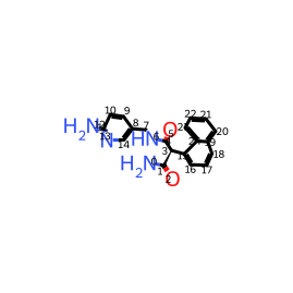 NC(=O)[C@@H](C(=O)NCc1ccc(N)nc1)c1cccc2ccccc12